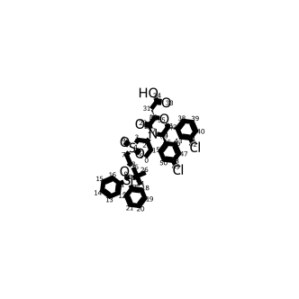 CCC(CS(=O)(=O)CCO[Si](c1ccccc1)(c1ccccc1)C(C)(C)C)N1C(=O)[C@H](CC(=O)O)O[C@H](c2cccc(Cl)c2)[C@H]1c1ccc(Cl)cc1